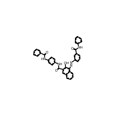 O=C(Nc1ccc(NC(=O)c2cc3ccccc3c(/N=N/c3cccc(C(=O)Nc4ccccc4)c3)c2O)cc1)c1ccccc1